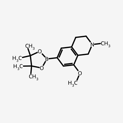 COc1cc(B2OC(C)(C)C(C)(C)O2)cc2c1CN(C)CC2